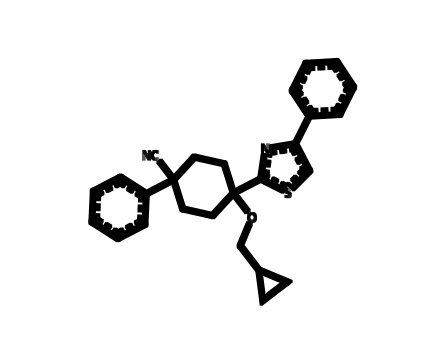 N#CC1(c2ccccc2)CCC(OCC2CC2)(c2nc(-c3ccccc3)cs2)CC1